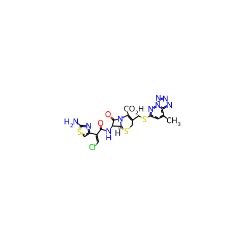 Cc1cc(SCC2=C(C(=O)O)N3C(=O)C(NC(=O)C(=CCl)c4csc(N)n4)[C@@H]3SC2)nn2nnnc12